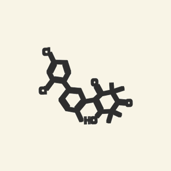 Cc1ccc(-c2ccc(Cl)cc2Cl)cc1C1=C(O)C(C)(C)C(=O)C(C)(C)C1=O